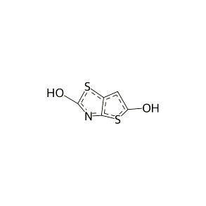 Oc1cc2sc(O)nc2s1